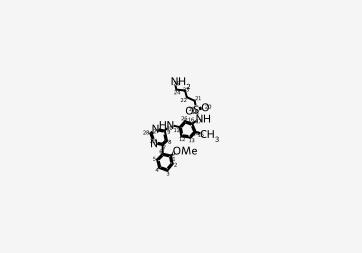 COc1ccccc1-c1cc(Nc2ccc(C)c(NS(=O)(=O)CCCCN)c2)ncn1